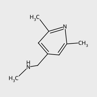 CNCc1cc(C)nc(C)c1